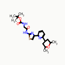 CC1CC(c2cccc(-c3csc(NC(=O)CNC(=O)OC(C)(C)C)n3)n2)CC(C)O1